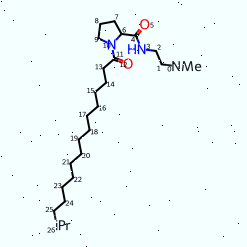 CNCCNC(=O)C1CCCN1C(=O)CCCCCCCCCCCCCC(C)C